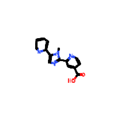 Cn1c(-c2ccccn2)cnc1-c1cc(C(=O)O)ccn1